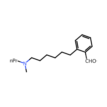 CCCN(C)CCCCCCc1ccccc1[C]=O